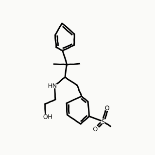 CC(C)(c1ccccc1)C(Cc1cccc(S(C)(=O)=O)c1)NCCO